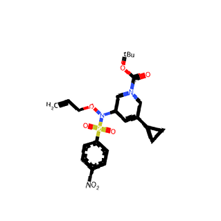 C=CCON(C1C=C(C2CC2)CN(C(=O)OC(C)(C)C)C1)S(=O)(=O)c1ccc([N+](=O)[O-])cc1